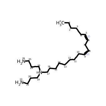 CCCCC/C=C\C/C=C\CCCCCCCCN(CCCN)CCCN